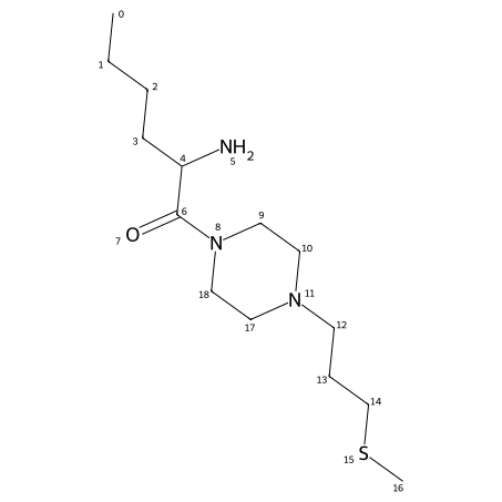 CCCCC(N)C(=O)N1CCN(CCCSC)CC1